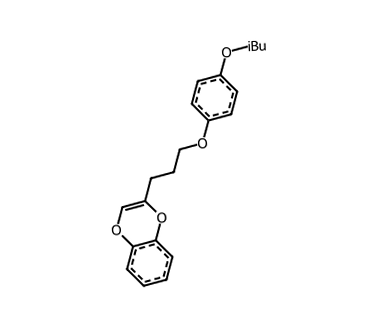 CCC(C)Oc1ccc(OCCCC2=COc3ccccc3O2)cc1